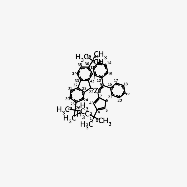 CC(C)(C)C1=CC[C]([Zr](=[C](c2ccccc2)c2ccccc2)[CH]2c3cc(C(C)(C)C)ccc3-c3ccc(C(C)(C)C)cc32)=C1